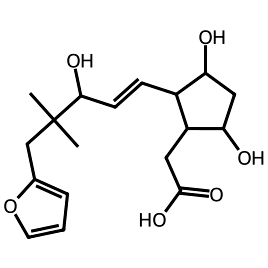 CC(C)(Cc1ccco1)C(O)C=CC1C(O)CC(O)C1CC(=O)O